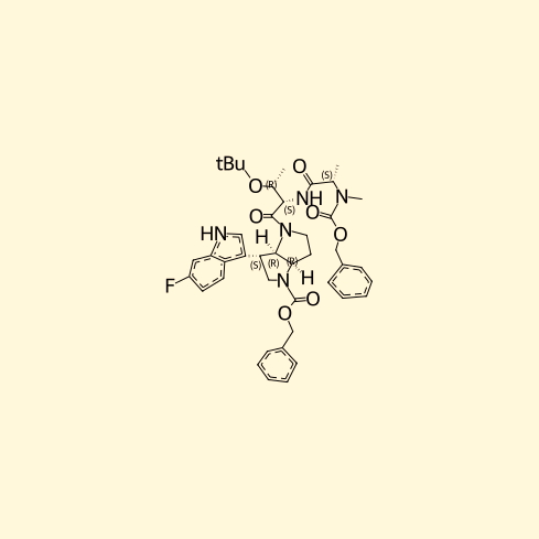 C[C@@H](OC(C)(C)C)[C@H](NC(=O)[C@H](C)N(C)C(=O)OCc1ccccc1)C(=O)N1CC[C@@H]2[C@H]1[C@@H](c1c[nH]c3cc(F)ccc13)CN2C(=O)OCc1ccccc1